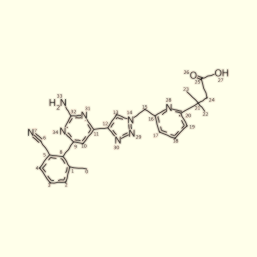 Cc1cccc(C#N)c1-c1cc(-c2cn(Cc3cccc(C(C)(C)CC(=O)O)n3)nn2)nc(N)n1